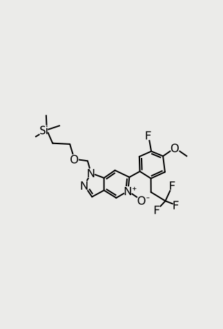 COc1cc(CC(F)(F)F)c(-c2cc3c(cnn3COCC[Si](C)(C)C)c[n+]2[O-])cc1F